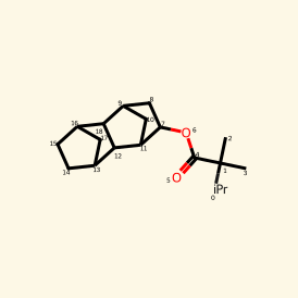 CC(C)C(C)(C)C(=O)OC1CC2CC1C1C3CCC(C3)C21